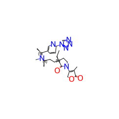 CC[C@@]1(CC[C@@H](C)N(C)[C@@H](C)c2ccc(-n3cnnn3)nc2)CCN(C2=C(C)C(=O)OC2)C1=O